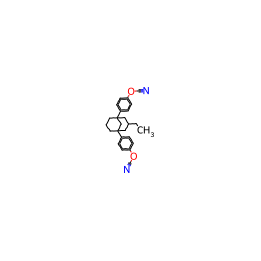 CCC1CC2(c3ccc(OC#N)cc3)CCCC(c3ccc(OC#N)cc3)(C1)C2